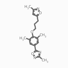 Cc1cc(CCCOc2c(C)cc(-c3nc(C)no3)cc2C)on1